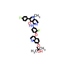 Cn1cc(-c2ccc(F)cc2)c(=O)c2c(Nc3ccc(Oc4ccnc5cc(OCC(C)(C)O)ccc45)c(F)c3)nccc21